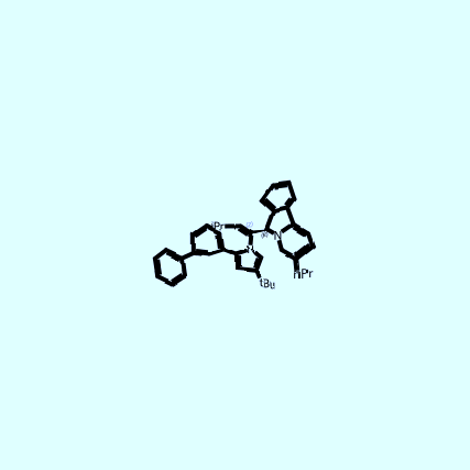 CCCC1=CC=C2c3ccccc3[C@H](/C(=C/C(C)C)n3cc(C(C)(C)C)cc3-c3cccc(-c4ccccc4)c3)N2C1